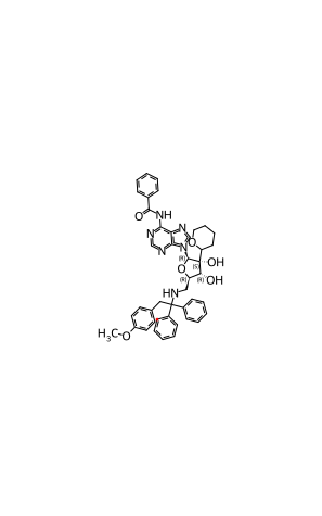 COc1ccc(CC(NC[C@H]2O[C@@H](n3cnc4c(NC(=O)c5ccccc5)ncnc43)[C@@](O)(C3CCCCO3)[C@@H]2O)(c2ccccc2)c2ccccc2)cc1